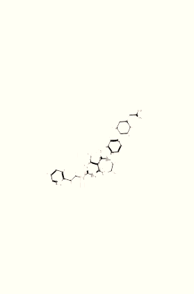 Nc1nc(NCCc2ccccn2)nc2c1C(=O)N(c1ccc([C@H]3CC[C@H](CC(=O)O)CC3)cc1)CCO2